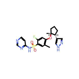 Cc1cc(S(=O)(=O)Nc2ccncn2)c(F)cc1O[C@]1(C)CCC[C@@H]1c1cn[nH]c1